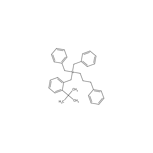 CC(C)(C)c1ccccc1C[Si](CCCc1ccccc1)(Cc1ccccc1)Cc1ccccc1